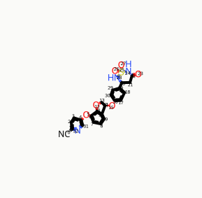 N#Cc1ccc(Oc2cccc3c2OC[C@H]3Oc2ccc(C3CC(=O)NS(=O)(=O)N3)cc2)cn1